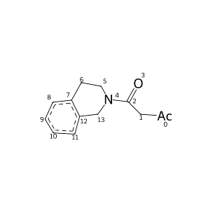 CC(=O)CC(=O)N1CCc2ccccc2C1